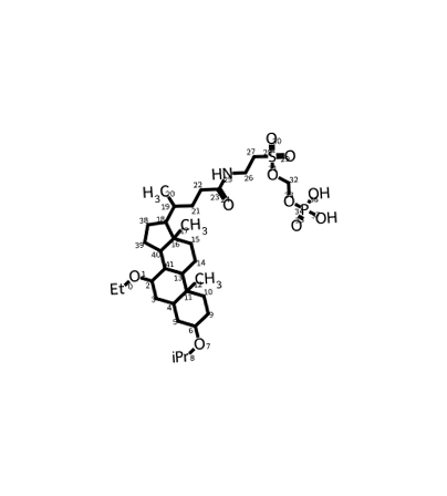 CCOC1CC2CC(OC(C)C)CCC2(C)C2CCC3(C)C(C(C)CCC(=O)NCCS(=O)(=O)OCOP(=O)(O)O)CCC3C12